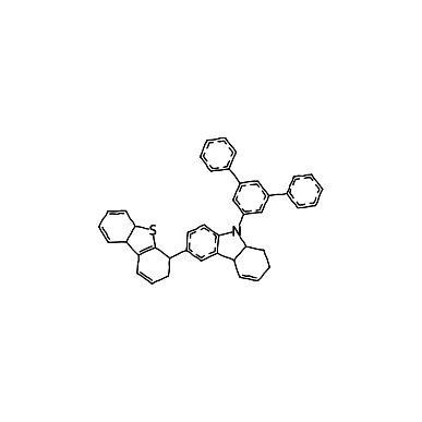 C1=CC2SC3=C(C=CCC3c3ccc4c(c3)C3C=CCCC3N4c3cc(-c4ccccc4)cc(-c4ccccc4)c3)C2C=C1